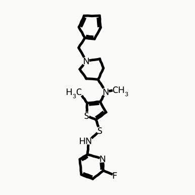 Cc1sc(SNc2cccc(F)n2)cc1N(C)C1CCN(Cc2ccccc2)CC1